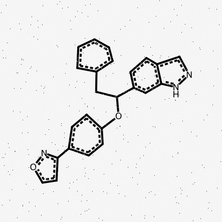 c1ccc(CC(Oc2ccc(-c3ccon3)cc2)c2ccc3cn[nH]c3c2)cc1